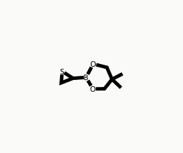 CC1(C)COB(C2CS2)OC1